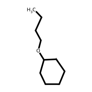 CCCCOC1[CH]CCCC1